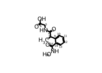 CC(C(=O)NCC(=O)O)c1ccccc1C(=O)NO